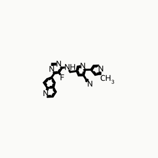 Cc1cc(-c2ncc(CNc3ncnc(-c4ccc5ncccc5c4)c3F)cc2C#N)ccn1